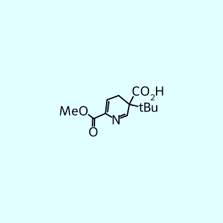 COC(=O)C1=CCC(C(=O)O)(C(C)(C)C)C=N1